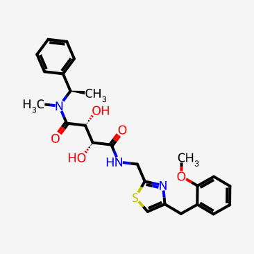 COc1ccccc1Cc1csc(CNC(=O)[C@H](O)[C@@H](O)C(=O)N(C)[C@H](C)c2ccccc2)n1